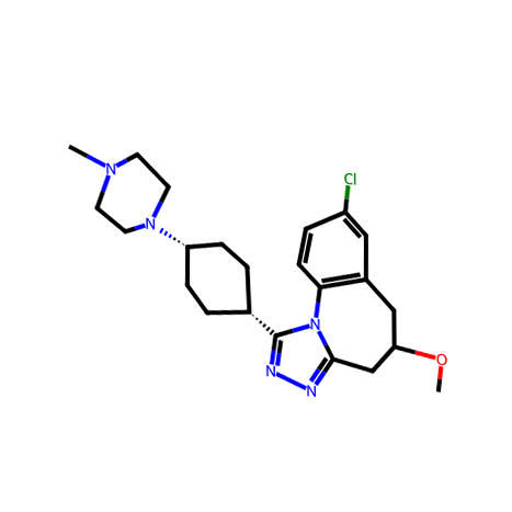 COC1Cc2cc(Cl)ccc2-n2c(nnc2[C@H]2CC[C@@H](N3CCN(C)CC3)CC2)C1